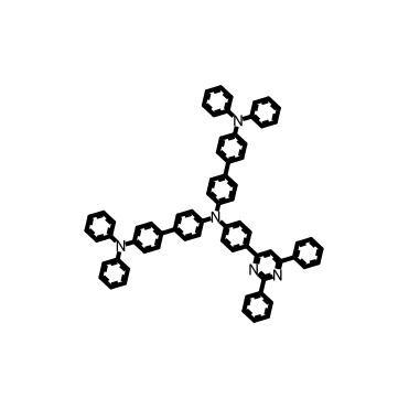 c1ccc(-c2cc(-c3ccc(N(c4ccc(-c5ccc(N(c6ccccc6)c6ccccc6)cc5)cc4)c4ccc(-c5ccc(N(c6ccccc6)c6ccccc6)cc5)cc4)cc3)nc(-c3ccccc3)n2)cc1